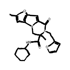 Cc1cc2c(cc3n2CC(C)(C(=O)NC2CCCCC2)N(Cc2ccco2)C3=O)o1